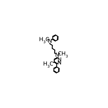 Cc1cc(N(C)CCCCCN(C)c2ccccc2)nnc1-c1ccccc1